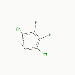 Fc1c(Cl)ccc(Br)c1F